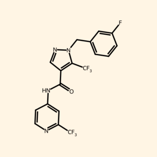 O=C(Nc1ccnc(C(F)(F)F)c1)c1cnn(Cc2cccc(F)c2)c1C(F)(F)F